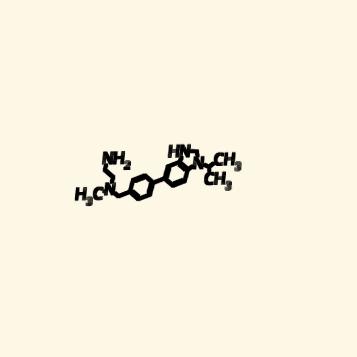 CC(C)N1CNc2cc(-c3ccc(CN(C)CCN)cc3)ccc21